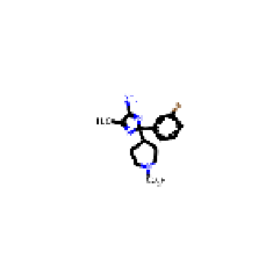 CC1=NC(c2cccc(Br)c2)(C2CCN(C(=O)O)CC2)N=C1N